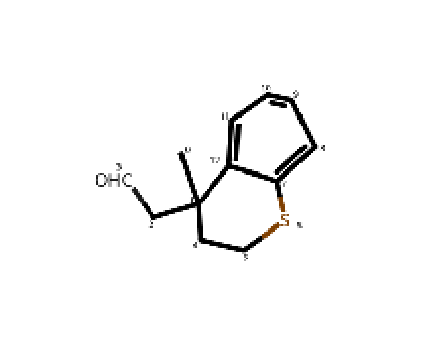 CC1(CC=O)CCSc2ccccc21